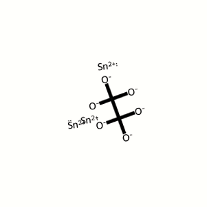 [O-]C([O-])([O-])C([O-])([O-])[O-].[Sn+2].[Sn+2].[Sn+2]